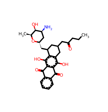 CCCC(=O)CC1Cc2c(O)c3c(c(O)c2C(C[C@H]2C[C@H](N)[C@H](O)[C@H](C)O2)C1)C(=O)c1ccccc1C3=O